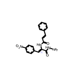 CCCNC(=O)/C(=C/c1ccc([N+](=O)[O-])cc1)NC(=O)C=Cc1ccccc1